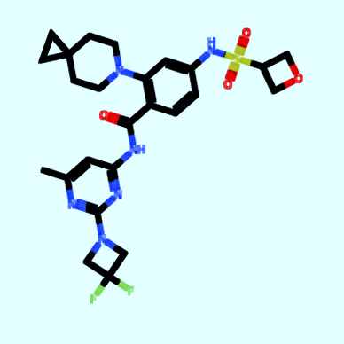 Cc1cc(NC(=O)c2ccc(NS(=O)(=O)C3COC3)cc2N2CCC3(CC2)CC3)nc(N2CC(F)(F)C2)n1